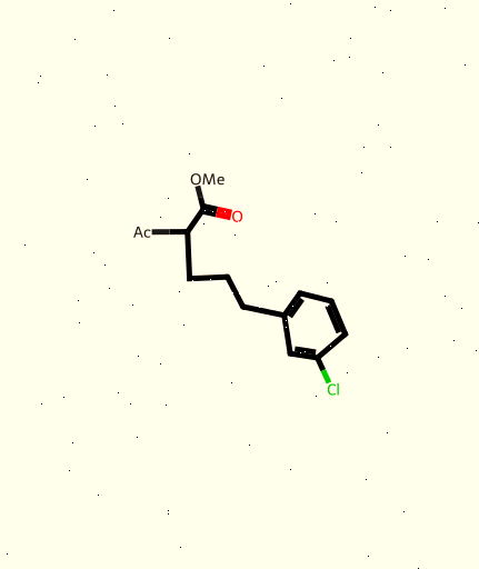 COC(=O)C(CCCc1cccc(Cl)c1)C(C)=O